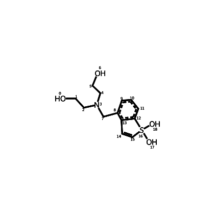 OCCN(CCO)Cc1cccc2c1C=CS2(O)O